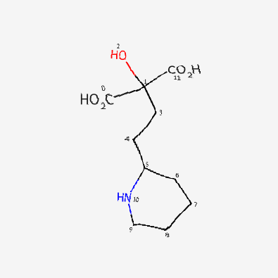 O=C(O)C(O)(CCC1CCCCN1)C(=O)O